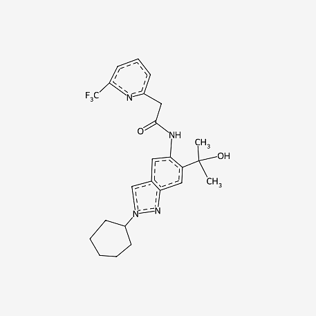 CC(C)(O)c1cc2nn(C3CCCCC3)cc2cc1NC(=O)Cc1cccc(C(F)(F)F)n1